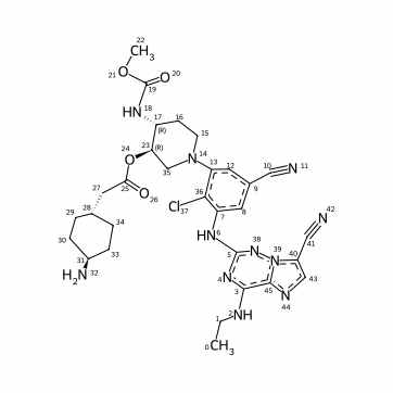 CCNc1nc(Nc2cc(C#N)cc(N3CC[C@@H](NC(=O)OC)[C@H](OC(=O)C[C@H]4CC[C@H](N)CC4)C3)c2Cl)nn2c(C#N)cnc12